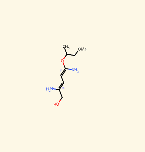 COCC(C)O/C(N)=C/C=C(\N)CO